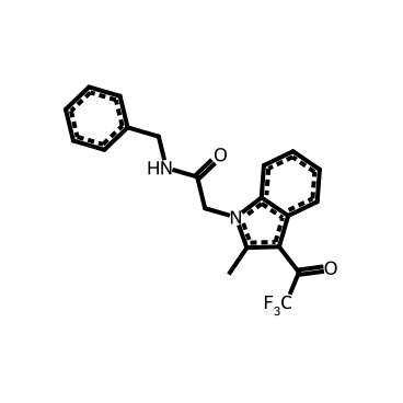 Cc1c(C(=O)C(F)(F)F)c2ccccc2n1CC(=O)NCc1ccccc1